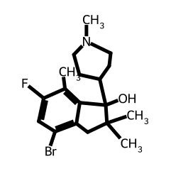 Cc1c(F)cc(Br)c2c1C(O)(C1CCN(C)CC1)C(C)(C)C2